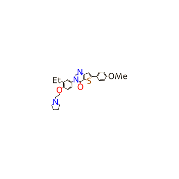 CCc1cc(-n2cnc3cc(-c4ccc(OC)cc4)sc3c2=O)ccc1OCCN1CCCC1